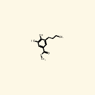 CCCCc1cc(C(=O)OC)cc(O)c1O